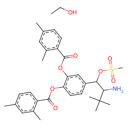 CCO.Cc1ccc(C(=O)Oc2ccc(C(OS(C)(=O)=O)C(N)C(C)(C)C)cc2OC(=O)c2ccc(C)cc2C)c(C)c1